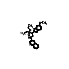 CCOP(=O)(CC)C(CNc1cnc2ccccc2c1)c1cc2ccc(OC)cc2s1